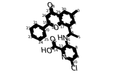 Cc1cc(C(C)Nc2ccc(Cl)nc2C(=O)O)c2oc(-c3ccccc3)cc(=O)c2c1